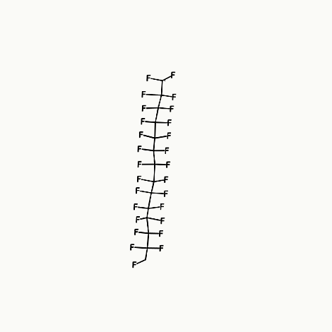 FCC(F)(F)C(F)(F)C(F)(F)C(F)(F)C(F)(F)C(F)(F)C(F)(F)C(F)(F)C(F)(F)C(F)(F)C(F)(F)C(F)(F)[C](F)F